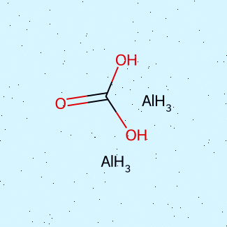 O=C(O)O.[AlH3].[AlH3]